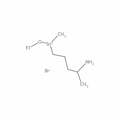 CC[O][Sn+]([CH3])[CH2]CCC(C)N.[Br-]